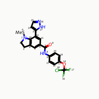 CSN1CCc2cc(C(=O)Nc3ccc(OC(F)(F)Cl)cc3)cc(-c3ccn[nH]3)c21